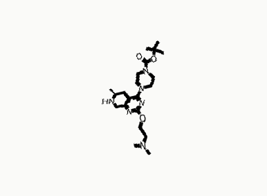 C[C@H]1Cc2c(nc(OCCN(C)C)nc2N2CCN(C(=O)OC(C)(C)C)CC2)CN1